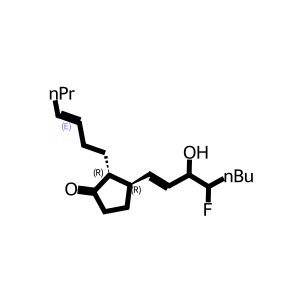 CCC/C=C/CC[C@H]1C(=O)CC[C@@H]1C=CC(O)C(F)CCCC